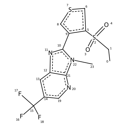 CCS(=O)(=O)c1cscc1-c1nc2cc(C(F)(F)F)cnc2n1C